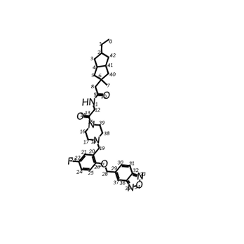 CCC1CC2CC(C)(CC(=O)NCC(=O)N3CCN(Cc4cc(F)ccc4OCc4ccc5nonc5c4)CC3)CC2C1